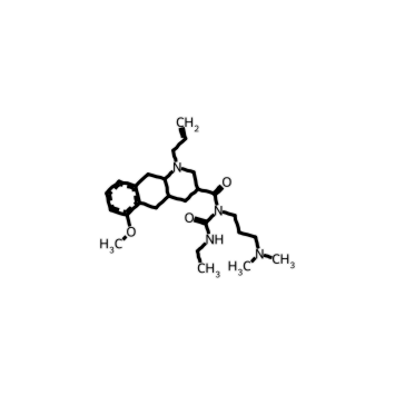 C=CCN1CC(C(=O)N(CCCN(C)C)C(=O)NCC)CC2Cc3c(cccc3OC)CC21